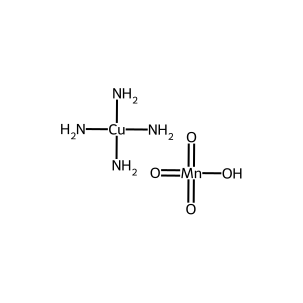 [NH2][Cu]([NH2])([NH2])[NH2].[O]=[Mn](=[O])(=[O])[OH]